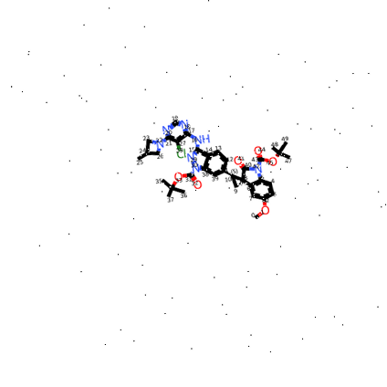 COc1ccc2c(c1)[C@]1(C[C@H]1c1ccc3c(Nc4ncnc(N5CC(C)C5)c4Cl)nn(C(=O)OC(C)(C)C)c3c1)C(=O)N2C(=O)OC(C)(C)C